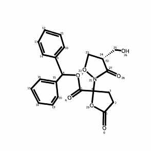 O=C1CCC(C(=O)OC(c2ccccc2)c2ccccc2)(N2OC[C@H](CO)C2=O)O1